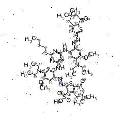 CCCCSc1nc(Nc2cc(N(CC)CC)c(OC)cc2/N=N/c2cc3c(s2)C(=O)CC(C)(C)C3)nc(Nc2cc(N(CC)CC)c(OC)cc2/N=N/c2sc3c(c2S(=O)(=O)O)CC(C)(C)CC3=O)n1